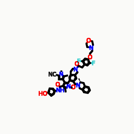 Cc1c(-c2c(C(=O)Nc3ccc(O)cc3)c(C)n(C)c2-c2cc3c(cc2C(=O)N2Cc4ccccc4C[C@H]2C)CN(C(=O)Cc2cc(F)c(OCCN4CCOCC4)cc2F)CC3)cc(C#N)n1C